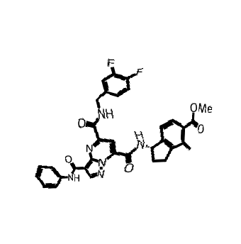 COC(=O)c1ccc2c(c1C)CC[C@@H]2NC(=O)c1cc(C(=O)NCc2ccc(F)c(F)c2)nc2c(C(=O)Nc3ccccc3)cnn12